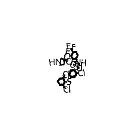 C[C@@]1(Oc2cc(NS(=O)(=O)c3ccc(Sc4c(Cl)cccc4Cl)cc3Cl)ccc2C(F)(F)F)CCNC1